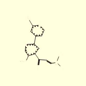 COc1cnc(-c2ccnc(N)c2)cc1C(=O)/C=C/N(C)C